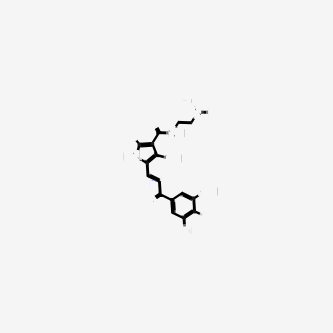 CCN(CC)CCNC(=O)c1c(C)[nH]c(/C=C/C(=O)c2cc(O)c(O)c(O)c2)c1C